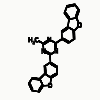 Cc1nc(-c2ccc3oc4ccccc4c3c2)nc(-c2ccc3oc4ccccc4c3c2)n1